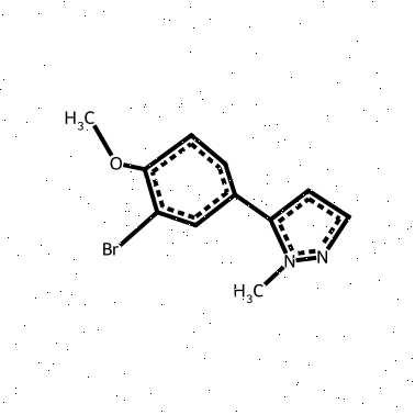 COc1ccc(-c2ccnn2C)cc1Br